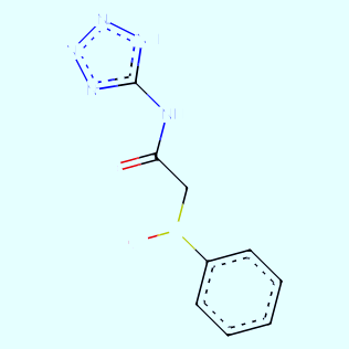 O=C(C[S+]([O-])c1ccccc1)Nc1nnn[nH]1